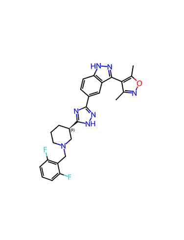 Cc1noc(C)c1-c1n[nH]c2ccc(-c3n[nH]c([C@@H]4CCCN(Cc5c(F)cccc5F)C4)n3)cc12